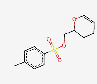 Cc1ccc(S(=O)(=O)OCC2CCC=CO2)cc1